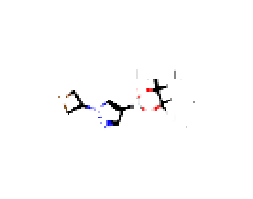 CC1(C)OB(c2cnn(C3CSC3)c2)OC1(C)C